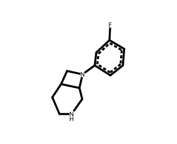 Fc1cccc(N2CC3CCNCC32)c1